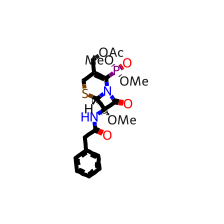 CO[C@@]1(NC(=O)Cc2ccccc2)C(=O)N2C(P(=O)(OC)OC)=C(COC(C)=O)CS[C@@H]21